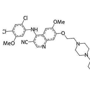 COc1cc(Nc2c(C#N)cnc3cc(OCCN4CCN(CCN)CC4)c(OC)cc23)c(Cl)cc1Cl